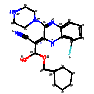 N#C/C(=C1/Nc2c(F)cccc2N=C1N1CCNCC1)C(O)OCC1CCCCC1